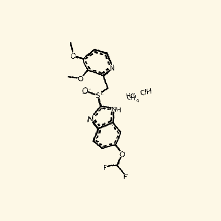 C.COc1ccnc(C[S+]([O-])c2nc3ccc(OC(F)F)cc3[nH]2)c1OC.Cl.Cl